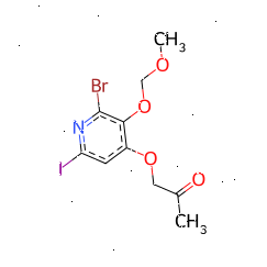 COCOc1c(OCC(C)=O)cc(I)nc1Br